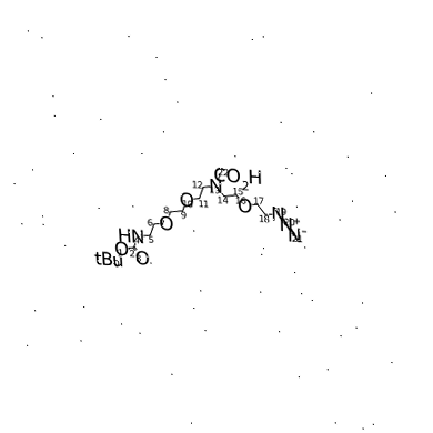 CC(C)(C)OC(=O)NCCOCCOCCN(CCOCCN=[N+]=[N-])C(=O)O